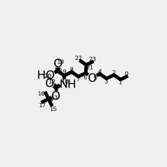 CCCCCOC(CCC(NC(=O)OC(C)(C)C)C(=O)O)C(C)C